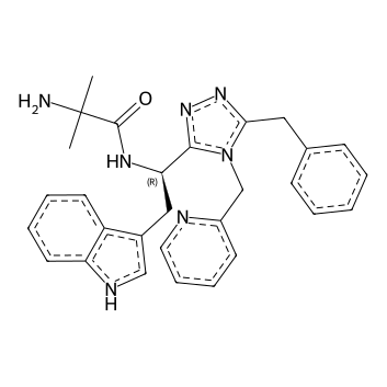 CC(C)(N)C(=O)N[C@H](Cc1c[nH]c2ccccc12)c1nnc(Cc2ccccc2)n1Cc1ccccn1